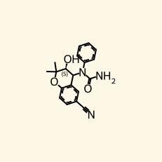 CC1(C)Oc2ccc(C#N)cc2C(N(C(N)=O)c2ccccc2)[C@@H]1O